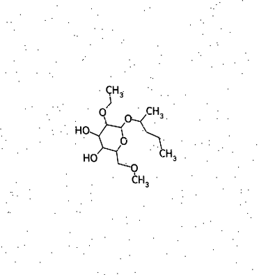 CCCC(C)OC1OC(COC)C(O)C(O)C1OCC